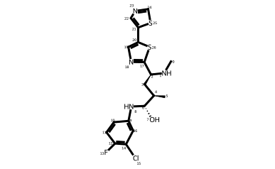 CN[C@@H](C[C@@H](C)[C@H](O)Nc1ccc(F)c(Cl)c1)c1ncc(-c2cncs2)s1